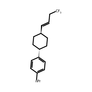 CCCc1ccc([C@H]2CC[C@H](C=CCC(F)(F)F)CC2)cc1